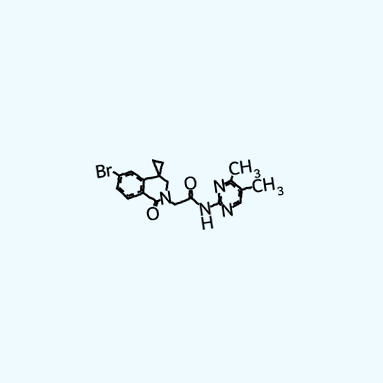 Cc1cnc(NC(=O)CN2CC3(CC3)c3cc(Br)ccc3C2=O)nc1C